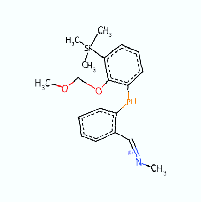 C/N=C/c1ccccc1Pc1cccc([Si](C)(C)C)c1OCOC